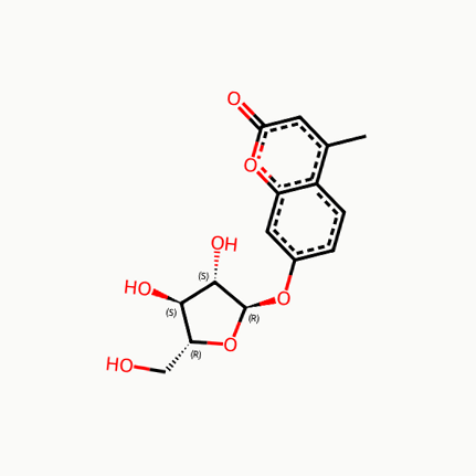 Cc1cc(=O)oc2cc(O[C@H]3O[C@H](CO)[C@@H](O)[C@@H]3O)ccc12